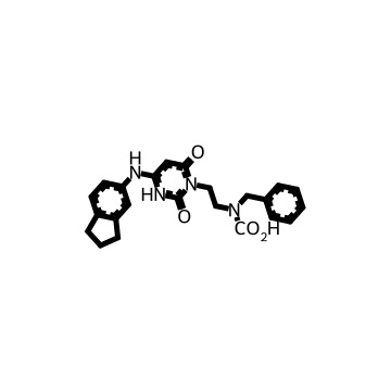 O=C(O)N(CCn1c(=O)cc(Nc2ccc3c(c2)CCC3)[nH]c1=O)Cc1ccccc1